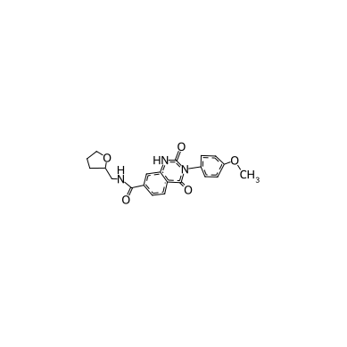 COc1ccc(-n2c(=O)[nH]c3cc(C(=O)NCC4CCCO4)ccc3c2=O)cc1